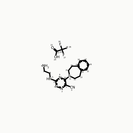 N#Cc1nnc(NCCN)nc1N1CCc2ccccc2CC1.O=C(O)C(F)(F)F